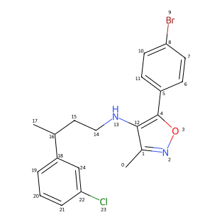 Cc1noc(-c2ccc(Br)cc2)c1NCCC(C)c1cccc(Cl)c1